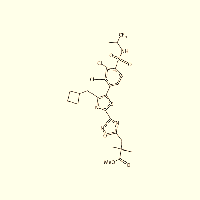 COC(=O)C(C)(C)Cc1nc(-c2nc(CC3CCC3)c(-c3ccc(S(=O)(=O)NC(C)C(F)(F)F)c(Cl)c3Cl)s2)no1